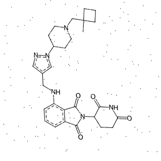 CC1(CN2CCC(n3cc(CNc4cccc5c4C(=O)N(C4CCC(=O)NC4=O)C5=O)cn3)CC2)CCC1